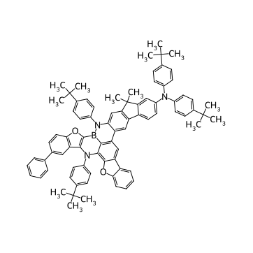 CC(C)(C)c1ccc(N2B3c4oc5ccc(-c6ccccc6)cc5c4N(c4ccc(C(C)(C)C)cc4)c4c3c(cc3c4oc4ccccc43)-c3cc4c(cc32)C(C)(C)c2cc(N(c3ccc(C(C)(C)C)cc3)c3ccc(C(C)(C)C)cc3)ccc2-4)cc1